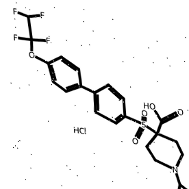 Cl.O=C(O)C1(S(=O)(=O)c2ccc(-c3ccc(OC(F)(F)C(F)F)cc3)cc2)CCN(C2CC2)CC1